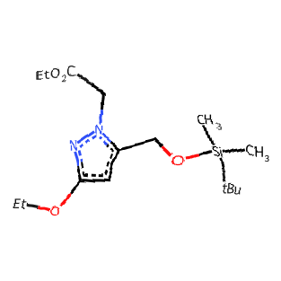 CCOC(=O)Cn1nc(OCC)cc1CO[Si](C)(C)C(C)(C)C